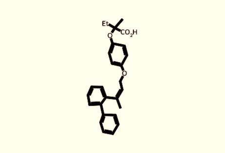 CCC(C)(Oc1ccc(OCC=C(C)c2ccccc2-c2ccccc2)cc1)C(=O)O